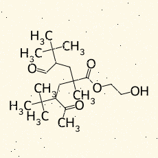 CC(=O)C(CC(C)(CC(C=O)C(C)(C)C)C(=O)OCCO)C(C)(C)C